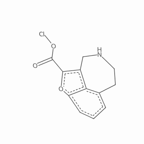 O=C(OCl)c1oc2cccc3c2c1CNCC3